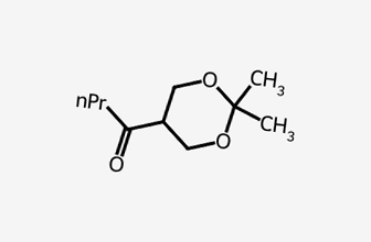 CCCC(=O)C1COC(C)(C)OC1